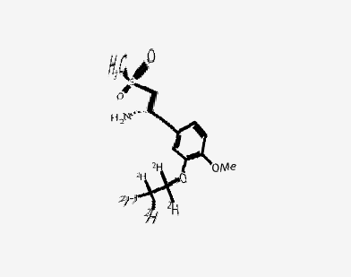 [2H]C([2H])([2H])C([2H])([2H])Oc1cc([C@H](N)CS(C)(=O)=O)ccc1OC